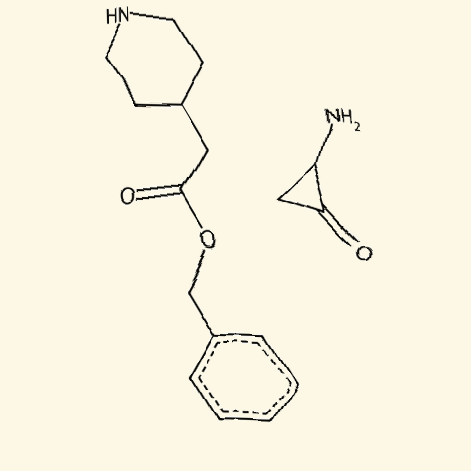 NC1CC1=O.O=C(CC1CCNCC1)OCc1ccccc1